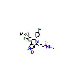 COc1cc2c(cc1F)-c1cn(C)c(=O)cc1[C@H](CCCC(N)=O)N=C2c1ccc(F)cc1